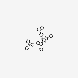 c1ccc(-c2cc3nc(-n4c5ccc(-c6ccc7c(c6)c6ccccc6n7-c6ccccc6)cc5c5c6ccccc6ccc54)nc(-c4ccc(-c5cccc6ccccc56)cc4)c3s2)cc1